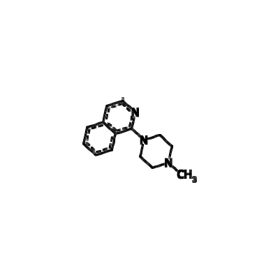 CN1CCN(c2n[c]cc3ccccc23)CC1